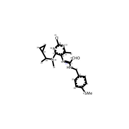 CSc1ccc(CN/C(C=O)=N/c2c(C)nc(Cl)nc2N(C)C(C)C2CC2)cc1